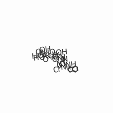 O=P(O)(O)CP(=O)(O)OC[C@H]1O[C@@H](n2nnc3c(N[C@H]4CCc5ccccc54)nc(Cl)nc32)[C@H](O)[C@@H]1O